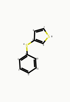 [c]1ccc(Sc2ccsc2)cc1